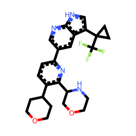 FC(F)(F)C1(c2c[nH]c3ncc(-c4ccc(C5CCOCC5)c(C5COCCN5)n4)cc23)CC1